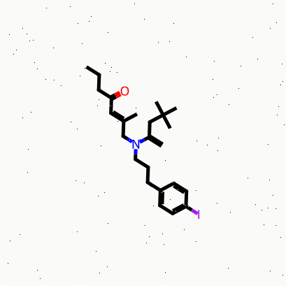 C=C(CC(C)(C)C)N(CCCc1ccc(I)cc1)C/C(C)=C/C(=O)CCC